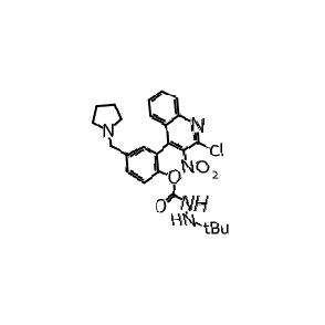 CC(C)(C)NNC(=O)Oc1ccc(CN2CCCC2)cc1-c1c([N+](=O)[O-])c(Cl)nc2ccccc12